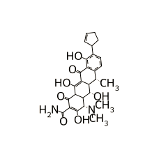 C[C@H]1c2ccc(C3C=CCC3)c(O)c2C(=O)C2=C(O)C3C(=O)C(C(N)=O)=C(O)[C@@H](N(C)C)C3[C@@H](O)C21